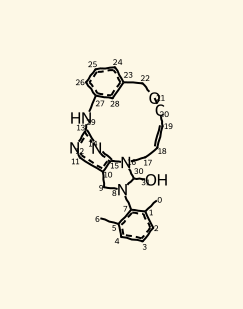 Cc1cccc(C)c1N1Cc2cnc3nc2N(C/C=C\COCc2cccc(c2)N3)C1O